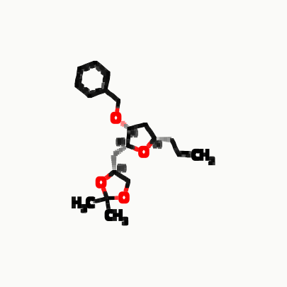 C=CC[C@H]1C[C@@H](OCc2ccccc2)[C@@H](C[C@@H]2COC(C)(C)O2)O1